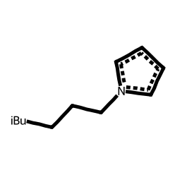 CCC(C)CCCn1cccc1